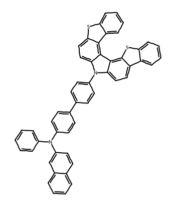 c1ccc(N(c2ccc(-c3ccc(-n4c5ccc6c7ccccc7sc6c5c5c6c(ccc54)sc4ccccc46)cc3)cc2)c2ccc3ccccc3c2)cc1